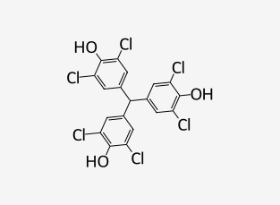 Oc1c(Cl)cc(C(c2cc(Cl)c(O)c(Cl)c2)c2cc(Cl)c(O)c(Cl)c2)cc1Cl